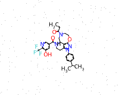 C=CC(=O)N1CCOc2nn(-c3ccc(C(C)C)cc3)c3c2[C@H](C1)N(C(=O)c1cnc(C(F)(F)F)c(O)c1)CC3